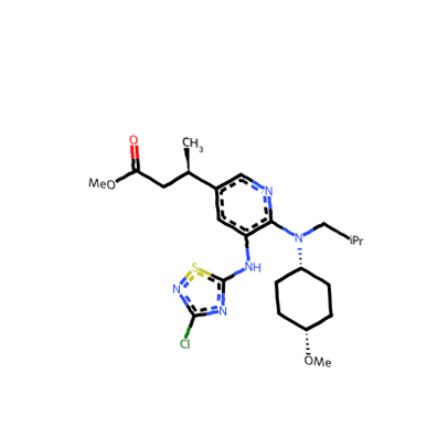 COC(=O)C[C@@H](C)c1cnc(N(CC(C)C)[C@H]2CC[C@@H](OC)CC2)c(Nc2nc(Cl)ns2)c1